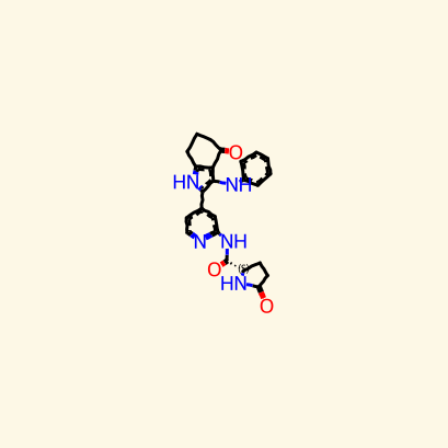 O=C1CC[C@@H](C(=O)Nc2cc(-c3[nH]c4c(c3Nc3ccccc3)C(=O)CCC4)ccn2)N1